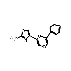 Nc1nc(C2=COC=C(C3=CC=CCC3)O2)co1